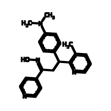 Cc1cccnc1C(CC(=NO)c1ccncc1)c1ccc(N(C)C)cc1